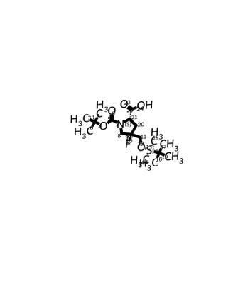 CC(C)(C)OC(=O)N1C[C@@](F)(CO[Si](C)(C)C(C)(C)C)C[C@H]1C(=O)O